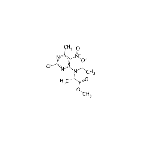 CCN(c1nc(Cl)nc(C)c1[N+](=O)[O-])[C@@H](C)C(=O)OC